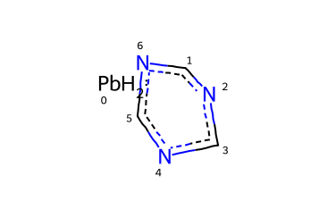 [PbH2].c1ncncn1